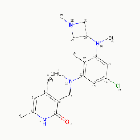 CCCc1cc(C)[nH]c(=O)c1CN(C=O)c1cc(Cl)cc(N(CC)C2CN(C)C2)c1C